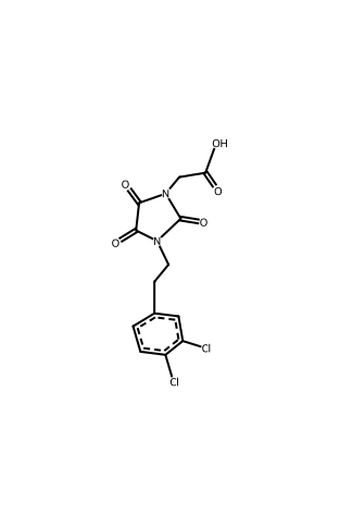 O=C(O)CN1C(=O)C(=O)N(CCc2ccc(Cl)c(Cl)c2)C1=O